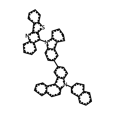 c1ccc2cc(-n3c4ccc(-c5ccc6c(c5)c5ccccc5n6-c5c6ccccc6nc6c5sc5ccccc56)cc4c4c5ccccc5ccc43)ccc2c1